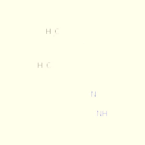 C/C=C\C(C)=C/N=N